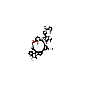 CCn1c(-c2cccnc2[C@H](C)OC)c2c3cc(ccc31)-c1cc(O)cc(c1)C[C@H](NC(=O)[C@H](C(C)C)N(C)C(=O)[C@H]1CCN(C(=O)C3CCCN3)C1)C(=O)N1CCC[C@](C=O)(COCC(C)(C)C2)N1